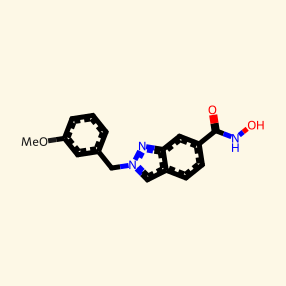 COc1cccc(Cn2cc3ccc(C(=O)NO)cc3n2)c1